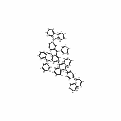 C1=c2c(n(-c3ccc4c(c3)N(c3ccccc3)c3cc(-c5c6ccccc6c(-c6ccc(-c7cccc8ccccc78)cc6)c6ccccc56)cc5c3B4c3ccccc3N5c3ccccc3)c3ccccc23)=CCC1